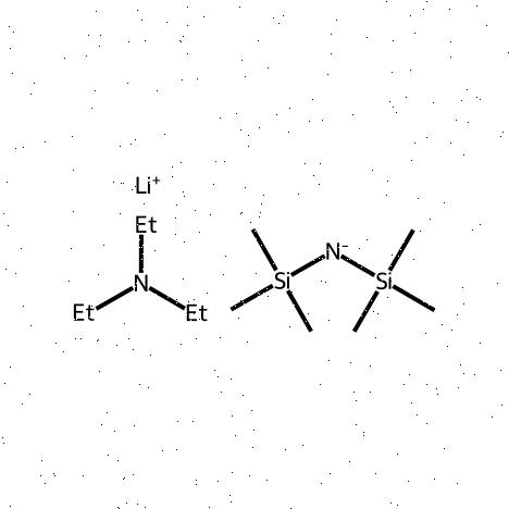 CCN(CC)CC.C[Si](C)(C)[N-][Si](C)(C)C.[Li+]